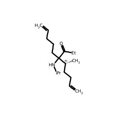 C=CCCCC(NC(C)C)(C(=O)CC)[C@H](C)CCC=C